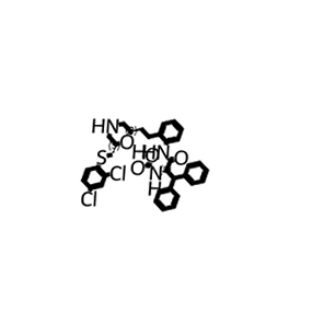 O=C(O)N[C@H](C(=O)Nc1ccccc1CC[C@@H]1CNC[C@@H](CSc2ccc(Cl)cc2Cl)O1)C(c1ccccc1)c1ccccc1